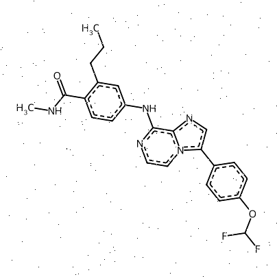 CCCc1cc(Nc2nccn3c(-c4ccc(OC(F)F)cc4)cnc23)ccc1C(=O)NC